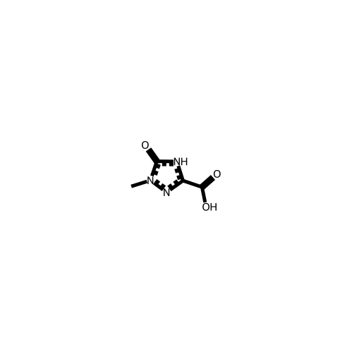 Cn1nc(C(=O)O)[nH]c1=O